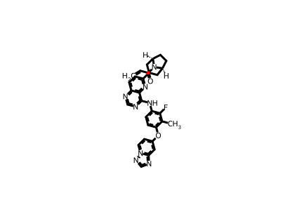 C=CC(=O)N1[C@@H]2CC[C@H]1CC(c1ccc3ncnc(Nc4ccc(Oc5ccn6ncnc6c5)c(C)c4F)c3n1)C2